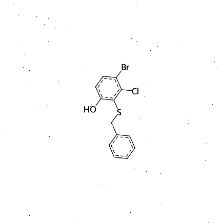 Oc1ccc(Br)c(Cl)c1SCc1ccccc1